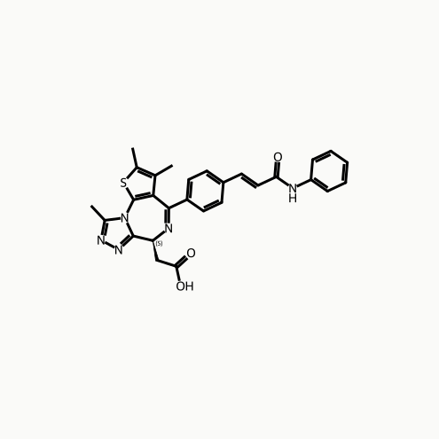 Cc1sc2c(c1C)C(c1ccc(C=CC(=O)Nc3ccccc3)cc1)=N[C@@H](CC(=O)O)c1nnc(C)n1-2